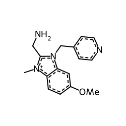 COc1ccc2c(c1)n(Cc1ccncc1)c(CN)[n+]2C